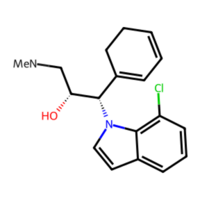 CNC[C@@H](O)[C@H](C1=CC=CCC1)n1ccc2cccc(Cl)c21